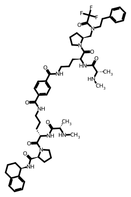 CN[C@@H](C)C(=O)N[C@@H](CCCNC(=O)c1ccc(C(=O)NCCC[C@H](NC(=O)[C@H](C)NC)C(=O)N2CCC[C@H]2C(=O)N[C@@H]2CCCc3ccccc32)cc1)C(=O)N1CCC[C@H]1CN(CCc1ccccc1)C(=O)C(F)(F)F